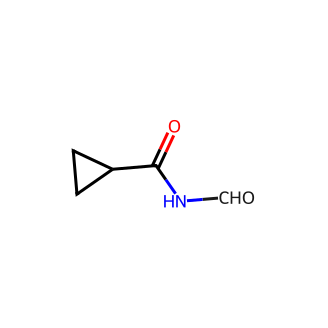 O=CNC(=O)C1CC1